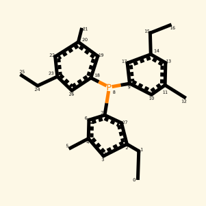 CCc1cc(C)cc(P(c2cc(C)cc(CC)c2)c2cc(C)cc(CC)c2)c1